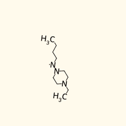 CCCC[N]N1CCN(CC)CC1